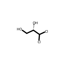 OC[C@H](O)C(Cl)Cl